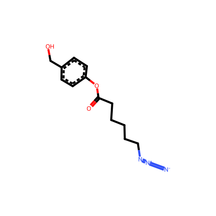 [N-]=[N+]=NCCCCCC(=O)Oc1ccc(CO)cc1